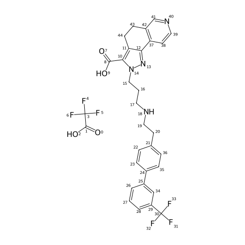 O=C(O)C(F)(F)F.O=C(O)c1c2c(nn1CCCNCCc1ccc(-c3cccc(C(F)(F)F)c3)cc1)-c1ccncc1CC2